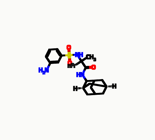 CCCC(C)(NS(=O)(=O)c1cccc(N)c1)C(=O)NC1C2CC3C[C@H](C2)C[C@H]1C3